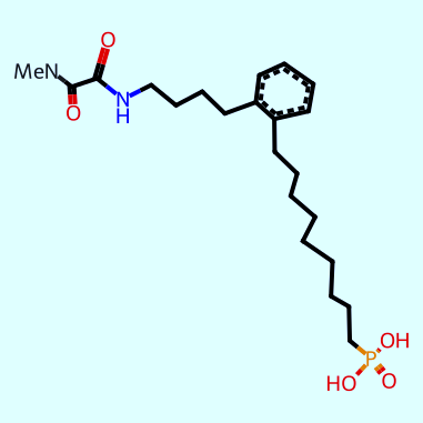 CNC(=O)C(=O)NCCCCc1ccccc1CCCCCCCCCP(=O)(O)O